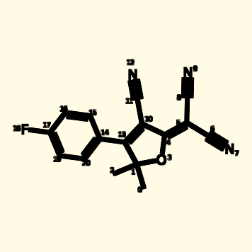 CC1(C)OC(=C(C#N)C#N)C(C#N)=C1c1ccc(F)cc1